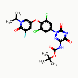 CC(C)n1cc(Oc2c(Cl)cc(-n3nc(NC(=O)OC(C)(C)C)c(=O)[nH]c3=O)cc2Cl)cc(F)c1=O